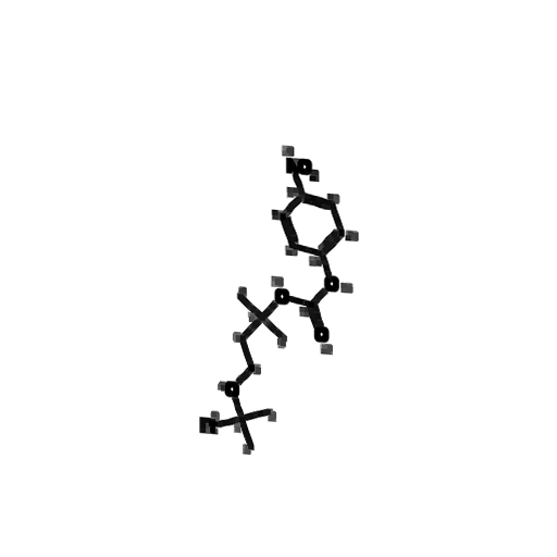 CCC(C)(C)OCCC(C)(C)OC(=O)Oc1ccc([N+](=O)[O-])cc1